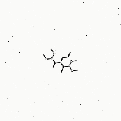 CCCN(C(C)P(OC)OC)C(C)P(OC)OC